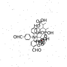 CC(C(c1cccc(C(C(C)P(=O)(O)O)C(C)P(=O)(O)O)c1)(C(C)P(=O)(O)O)[N+](c1ccccc1)(c1ccc(C=O)cc1)c1ccc(C=O)cc1)P(=O)([O-])O